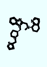 CN(Cc1nc2ccccc2n1C[C@H]1CCCN(Cc2cccs2)C1)[C@H]1CCCc2cccnc21